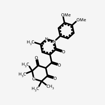 COc1ccc(-n2nc(C)cc(C(=O)C3C(=O)C(C)(C)OC(C)(C)C3=O)c2=O)cc1OC